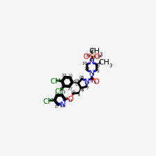 C[C@@H]1CN(C(=O)N2C[C@@H](CCOc3ccc(Cl)cn3)[C@@H](c3ccc(Cl)c(Cl)c3)C2)CCN1S(C)(=O)=O